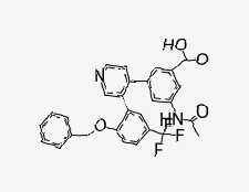 CC(=O)Nc1cc(C(=O)O)cc(-c2ccncc2-c2cc(C(F)(F)F)ccc2OCc2ccccc2)c1